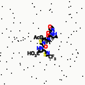 CC(=O)O[C@H](C[C@H](C(C)C)N(C)C(=O)[C@@H](NC(=O)[C@H]1COCCN1C)[C@@H](C)C1CC1)c1nc(C(=O)N[C@@H](Cc2nc(C(F)(F)F)cs2)C[C@H](C)C(=O)O)cs1